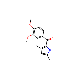 COc1ccc(C(=O)c2[nH]c(C)cc2C)cc1OC